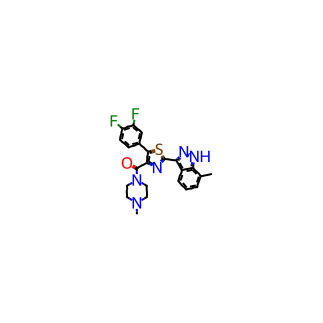 Cc1cccc2c(-c3nc(C(=O)N4CCN(C)CC4)c(-c4ccc(F)c(F)c4)s3)n[nH]c12